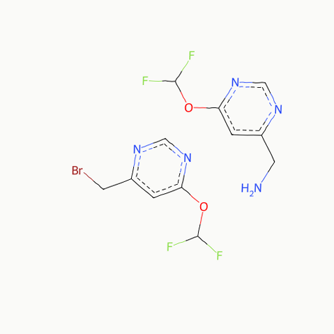 FC(F)Oc1cc(CBr)ncn1.NCc1cc(OC(F)F)ncn1